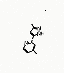 Cc1ccnc(-c2cc(C)n[nH]2)c1